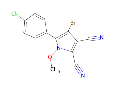 COn1c(C#N)c(C#N)c(Br)c1-c1ccc(Cl)cc1